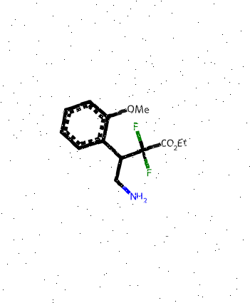 CCOC(=O)C(F)(F)C(CN)c1ccccc1OC